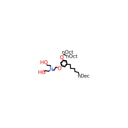 CCCCCCCCCCCCCCCc1cc(OCCN(CCO)CCO)cc(OC(CCCCCCCC)CCCCCCCC)c1